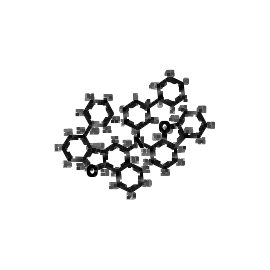 c1ccc(-c2cccc(N(c3cc4c(oc5cccc(-c6ccccc6)c54)c4ccccc34)c3cccc4c3oc3ccccc34)c2)cc1